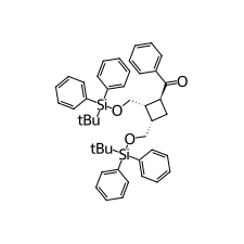 CC(C)(C)[Si](OC[C@H]1C[C@H](C(=O)c2ccccc2)[C@H]1CO[Si](c1ccccc1)(c1ccccc1)C(C)(C)C)(c1ccccc1)c1ccccc1